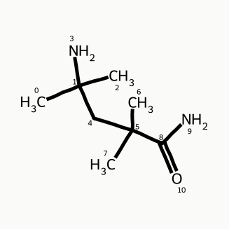 CC(C)(N)CC(C)(C)C(N)=O